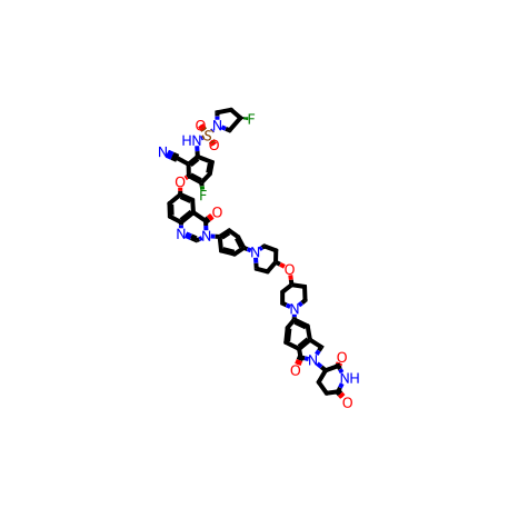 N#Cc1c(NS(=O)(=O)N2CC[C@@H](F)C2)ccc(F)c1Oc1ccc2ncn(-c3ccc(N4CCC(OC5CCN(c6ccc7c(c6)CN(C6CCC(=O)NC6=O)C7=O)CC5)CC4)cc3)c(=O)c2c1